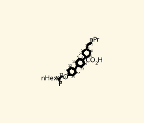 CCC/C=C/C1CCC(C(=O)O)(c2ccc(-c3ccc(OCC(F)CCCCCC)cc3)cc2)CC1